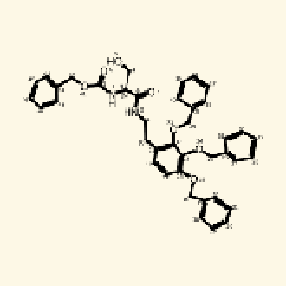 O=C(N[C@@H](CO)C(=O)NCCc1ccc(OCc2ccccc2)c(OCc2ccccc2)c1OCc1ccccc1)OCc1ccccc1